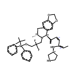 C=C(/C=C\C(=C/C)N[C@H]1CCNC1)[C@@H]1c2cc3c(cc2C[C@@H](C)N1CC(F)(F)CO[Si](c1ccccc1)(c1ccccc1)C(C)(C)C)OCO3